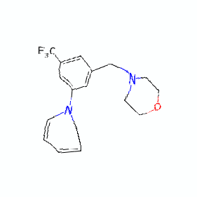 FC(F)(F)c1cc(CN2CCOCC2)cc(N2C=CC=CC2)c1